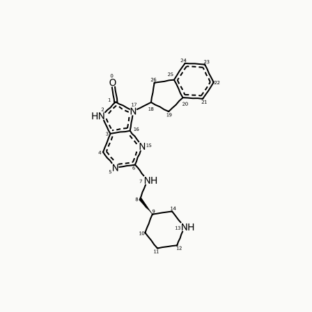 O=c1[nH]c2cnc(NC[C@@H]3CCCNC3)nc2n1C1Cc2ccccc2C1